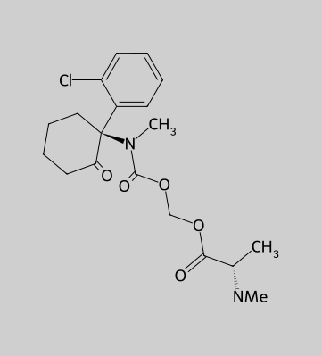 CN[C@@H](C)C(=O)OCOC(=O)N(C)[C@]1(c2ccccc2Cl)CCCCC1=O